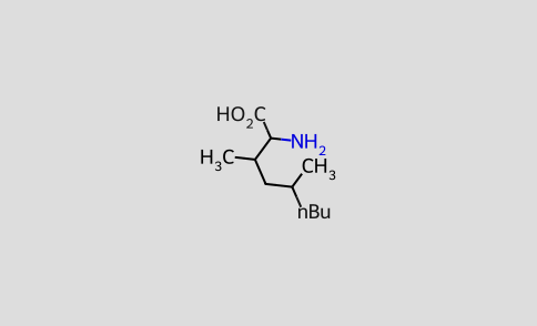 CCCCC(C)CC(C)C(N)C(=O)O